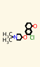 CC(C)N1CCC(Oc2cc3c(cc2Cl)C(=O)CC=C3)CC1